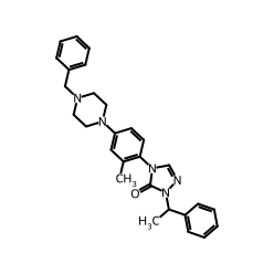 Cc1cc(N2CCN(Cc3ccccc3)CC2)ccc1-n1cnn(C(C)c2ccccc2)c1=O